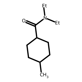 CCN(CC)C(=O)C1CCC(C)CC1